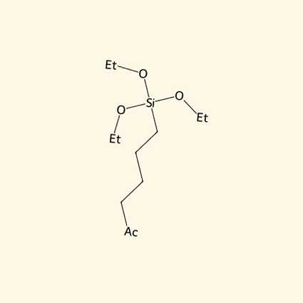 CCO[Si](CCCCC(C)=O)(OCC)OCC